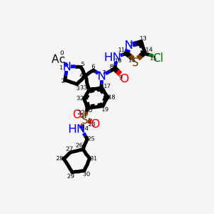 CC(=O)N1CCC2(C1)CN(C(=O)Nc1ncc(Cl)s1)c1ccc(S(=O)(=O)NCC3CCCCC3)cc12